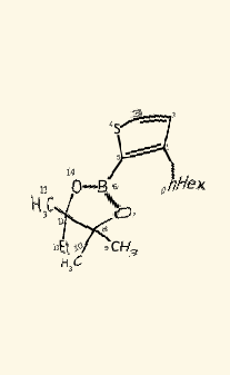 CCCCCCc1ccsc1B1OC(C)(C)C(C)(CC)O1